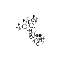 O=C1C(NC(=O)C2(NC(=O)C3(C(F)(F)F)CC3)CC2)CCc2cc(OC(F)(F)F)ccc2N1Cc1cc(C(F)(F)F)cc(C(F)(F)F)c1